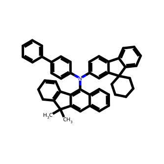 CC1(C)C2=C(C=CCC2)c2c1cc1ccccc1c2N(c1ccc(-c2ccccc2)cc1)c1ccc2c(c1)C1(CCCCC1)c1ccccc1-2